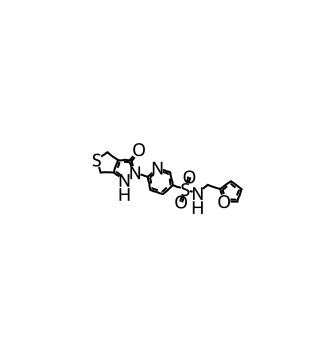 O=c1c2c([nH]n1-c1ccc(S(=O)(=O)NCc3ccco3)cn1)CSC2